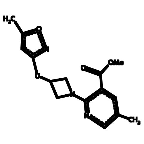 COC(=O)c1cc(C)cnc1N1CC(Oc2cc(C)on2)C1